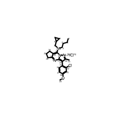 CCCCN(CC1CC1)c1c2c(nc3c(-c4ccc(OC)cc4Cl)c(C)nn13)CCC2.Cl